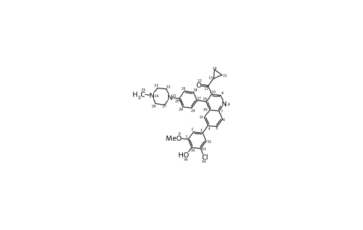 COc1cc(-c2ccc3ncc(C(=O)C4CC4)c(-c4ccc(N5CCN(C)CC5)cc4)c3c2)cc(Cl)c1O